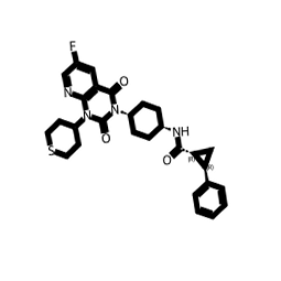 O=C(N[C@H]1CC[C@@H](n2c(=O)c3cc(F)cnc3n(C3CCSCC3)c2=O)CC1)[C@@H]1C[C@H]1c1ccccc1